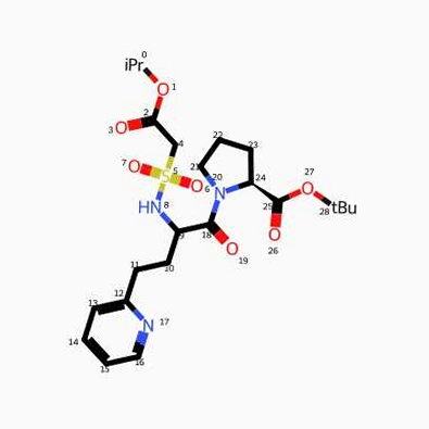 CC(C)OC(=O)CS(=O)(=O)NC(CCc1ccccn1)C(=O)N1CCC[C@H]1C(=O)OC(C)(C)C